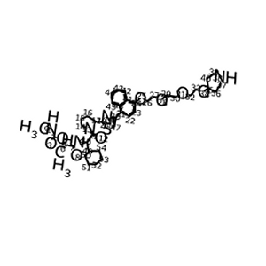 CNC(=O)OC(C)C(=O)NC(C(=O)N1CCC[C@H]1c1nc(-c2ccc(OCCOCCOCCOC3CCNCC3)c3ccccc23)cs1)C1CCCCC1